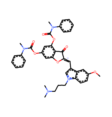 COc1ccc2c(c1)c(/C=C1\Oc3cc(OC(=O)N(C)c4ccccc4)cc(OC(=O)N(C)c4ccccc4)c3C1=O)cn2CCCN(C)C